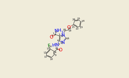 NC(=O)c1c(NC(=O)c2ccccc2F)ncn1CCOc1ccccc1